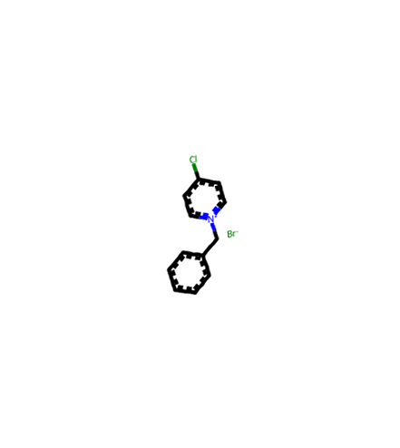 Clc1cc[n+](Cc2ccccc2)cc1.[Br-]